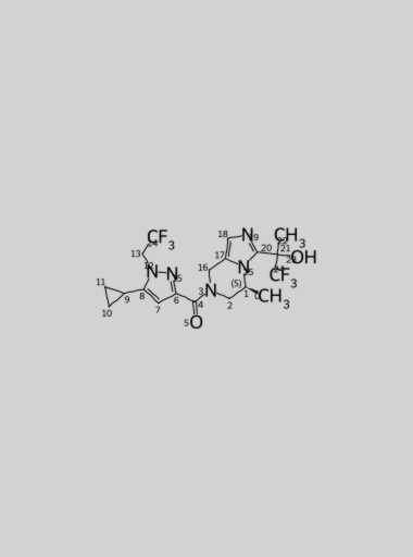 C[C@H]1CN(C(=O)c2cc(C3CC3)n(CC(F)(F)F)n2)Cc2cnc(C(C)(O)C(F)(F)F)n21